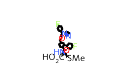 CSCC[C@H](NC(=O)c1ccc(COCC(c2ccc(F)cc2)n2ccnc2)cc1-c1ccc(F)cc1)C(=O)O